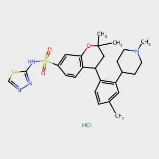 CN1CCC(c2cc(C(F)(F)F)ccc2C2CC(C)(C)Oc3cc(S(=O)(=O)Nc4nncs4)ccc32)CC1.Cl